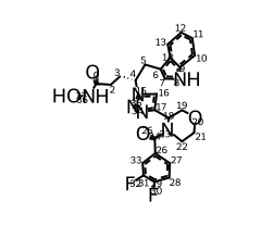 O=C(CC[C@H](Cc1c[nH]c2ccccc12)n1cc(C2COCCN2C(=O)c2ccc(F)c(F)c2)nn1)NO